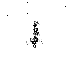 CC(C)c1cc(Cl)cc(C(C)C)c1NC(=O)CNS(=O)(=O)C1CCN(C2CN(C)C2)CC1